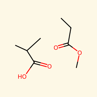 CC(C)C(=O)O.CCC(=O)OC